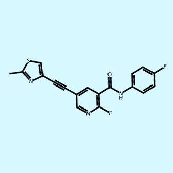 Cc1nc(C#Cc2cnc(F)c(C(=O)Nc3ccc(F)cc3)c2)cs1